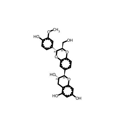 COc1cc([C@H]2Oc3cc([C@H]4Oc5cc(O)cc(O)c5C[C@@H]4O)ccc3O[C@@H]2CO)ccc1O